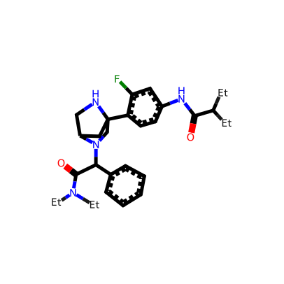 CCC(CC)C(=O)Nc1ccc(C23CC(CN2)N(C(C(=O)N(CC)CC)c2ccccc2)C3)c(F)c1